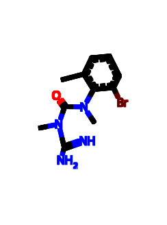 Cc1cccc(Br)c1N(C)C(=O)N(C)C(=N)N